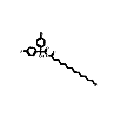 CC(C)CCCCCCCCCCCCC(=O)OC(=O)C(O)(c1ccc(Br)cc1)c1ccc(Br)cc1